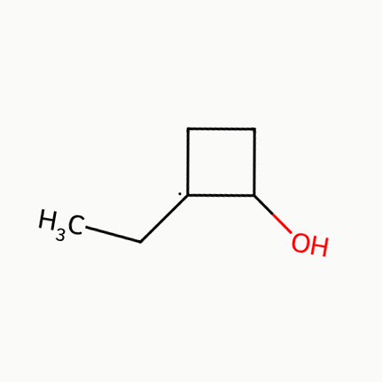 CC[C]1CCC1O